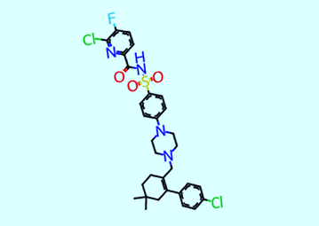 CC1(C)CCC(CN2CCN(c3ccc(S(=O)(=O)NC(=O)c4ccc(F)c(Cl)n4)cc3)CC2)=C(c2ccc(Cl)cc2)C1